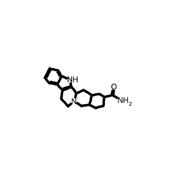 NC(=O)C1CCC2CN3CCc4c([nH]c5ccccc45)C3CC2C1